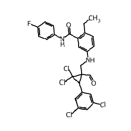 CCc1ccc(NCC2(C=O)C(c3cc(Cl)cc(Cl)c3)C2(Cl)Cl)cc1C(=O)Nc1ccc(F)cc1